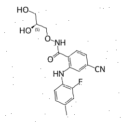 Cc1ccc(Nc2cc(C#N)ccc2C(=O)NOC[C@@H](O)CO)c(F)c1